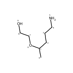 CC(CCCN)OCCO